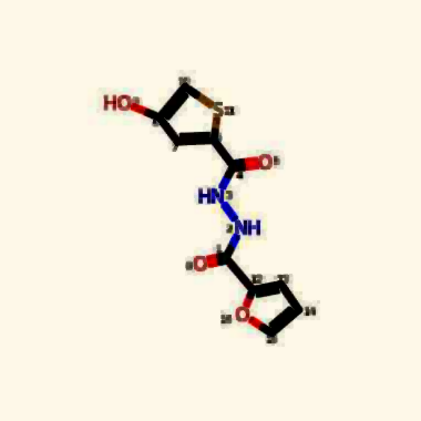 O=C(NNC(=O)c1cc(O)cs1)c1ccco1